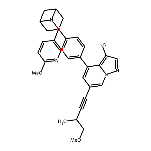 COCC(C)C#Cc1cc(-c2ccc(N3CC4CC(C3)N4Cc3ccc(OC)nc3)nc2)c2c(C#N)cnn2c1